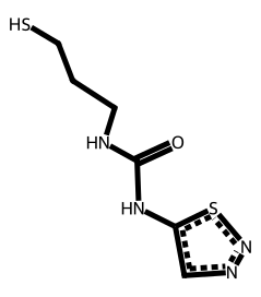 O=C(NCCCS)Nc1cnns1